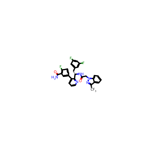 NC(=O)c1cc(-c2cccnc2[C@H](Cc2cc(F)cc(F)c2)NC(=O)Cn2nc(C(F)(F)F)c3ccccc32)ccc1F